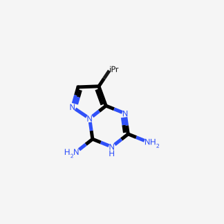 CC(C)c1cnn2c1N=C(N)NC2N